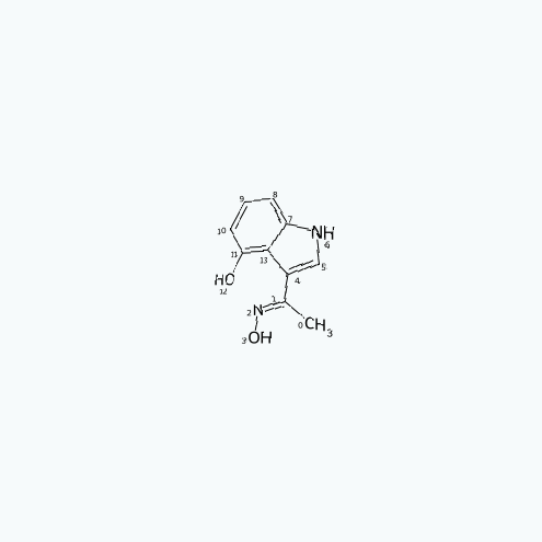 CC(=NO)c1c[nH]c2cccc(O)c12